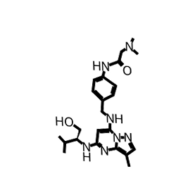 Cc1cnn2c(NCc3ccc(NC(=O)CN(C)C)cc3)cc(N[C@H](CO)C(C)C)nc12